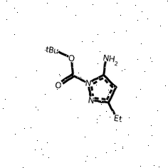 CCc1cc(N)n(C(=O)OC(C)(C)C)n1